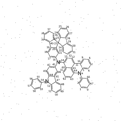 c1ccc(N2c3ccccc3-c3ccc(N(c4ccc5c(c4)C4(c6ccccc6-c6ccccc64)c4ccccc4-5)c4ccc5c(c4)c4ccccc4n5-c4ccccc4)c4cccc2c34)cc1